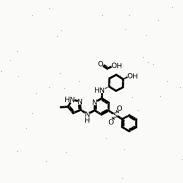 Cc1cc(Nc2cc(S(=O)(=O)c3ccccc3)cc(N[C@H]3CC[C@H](O)CC3)n2)n[nH]1.O=CO